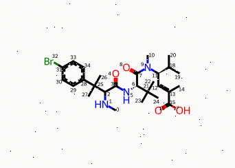 CNC(C(=O)N[C@H](C(=O)N(C)[C@H](/C=C(\C)C(=O)O)C(C)C)C(C)(C)C)C(C)(C)c1ccc(Br)cc1